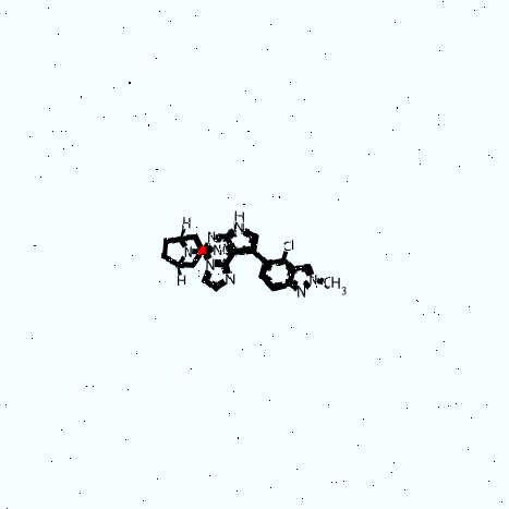 CNC1C[C@H]2CC[C@@H](C1)N2c1nc2[nH]cc(-c3ccc4nn(C)cc4c3Cl)c2c2nccn12